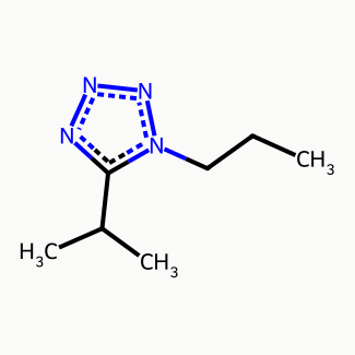 CCCn1nnnc1C(C)C